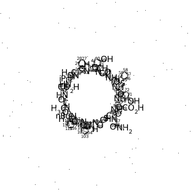 CCCC[C@H]1C(=O)N(C)CC(=O)N[C@@H](CC(=O)O)C(=O)N[C@@H](C(C)C)C(=O)N(C)[C@@H](Cc2ccccc2)C(=O)N[C@@H](Cc2ccc(O)cc2)C(=O)N(C)CC(=O)N[C@@H](Cc2csc3ccccc23)C(=O)N[C@@H](Cc2ccc(O)cc2)C(=O)N[C@@H](CCC(=O)O)C(=O)N[C@H](C(=O)NCC(N)=O)CSCC(=O)N[C@@H](Cc2ccccc2)C(=O)N(C)[C@@H](Cc2ccccc2)C(=O)N1C